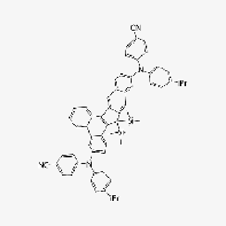 CC(C)c1ccc(N(c2ccc(C#N)cc2)c2ccc3cc4c(cc3c2)C([Si](C)(C)C)([Si](C)(C)C)c2c-4c3ccccc3c3cc(N(c4ccc(C#N)cc4)c4ccc(C(C)C)cc4)ccc23)cc1